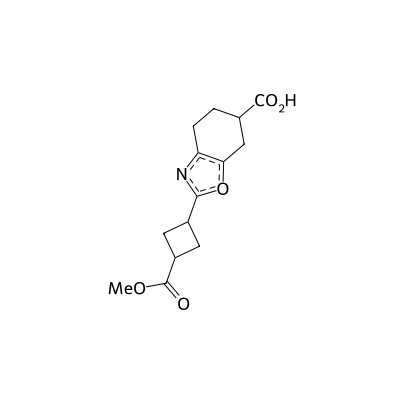 COC(=O)C1CC(c2nc3c(o2)CC(C(=O)O)CC3)C1